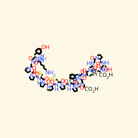 CC(C)C[C@H](NC(=O)[C@H](Cc1ccccc1)NC(=O)[C@H](CCC(=O)O)NC(=O)[C@@H]1CCCN1C(=O)[C@H](C)NC(=O)[C@@H]1CCCN1C(=O)[C@H](CS)NC(=O)[C@@H]1CCCN1C(=O)[C@@H]1CCCN1C(=O)[C@H](CS)NC(=O)[C@@H]1CCCN1C(=O)[C@@H]1CCCN1C(=O)CNC(=O)[C@H](Cc1ccc(O)cc1)NC(=O)[C@@H](N)CCCCN)C(=O)NCC(=O)NCC(=O)N1CCC[C@H]1C(=O)N[C@@H](CO)C(=O)N[C@H](C(=O)O)C(C)C